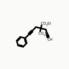 C#CCC(CC#Cc1ccccc1)(C(=O)OCC)C(=O)OCC